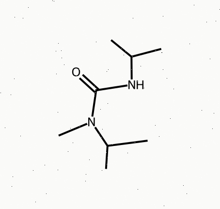 CC(C)NC(=O)N(C)C(C)C